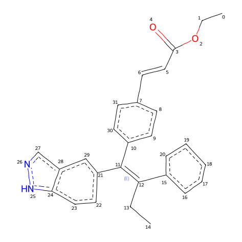 CCOC(=O)C=Cc1ccc(/C(=C(/CC)c2ccccc2)c2ccc3[nH]ncc3c2)cc1